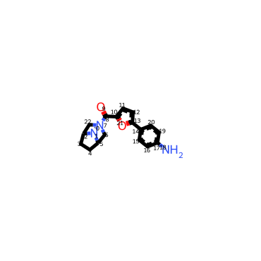 CN1C2CCC1CN(C(=O)c1ccc(-c3ccc(N)cc3)o1)C2